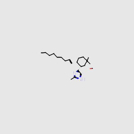 CCCCCCCC=C[C@@H]1CCC(C)(C)[C@H](OC)[C@H]1c1c[nH]c(C)n1